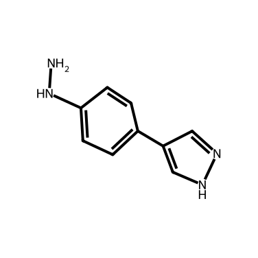 NNc1ccc(-c2cn[nH]c2)cc1